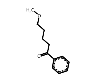 CO[CH]CCCC(=O)c1ccccc1